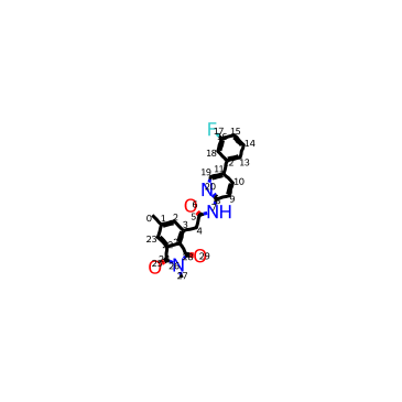 Cc1cc(CC(=O)Nc2ccc(-c3cccc(F)c3)cn2)c2c(c1)C(=O)N(C)C2=O